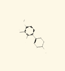 CCOc1ccc(C2=CCC(CC)CC2)c(F)c1Cl